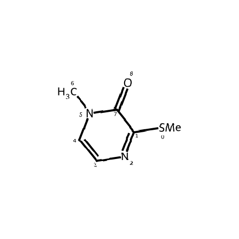 CSc1nccn(C)c1=O